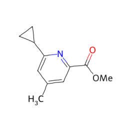 COC(=O)c1cc(C)cc(C2CC2)n1